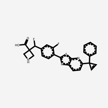 O=C(O)C1(C(F)c2ccc(-c3nc4ccc(C5(c6ccccc6)C=C5)nc4s3)c(F)c2)CNC1